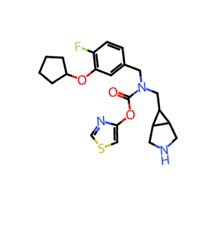 O=C(Oc1cscn1)N(Cc1ccc(F)c(OC2CCCC2)c1)CC1C2CNCC21